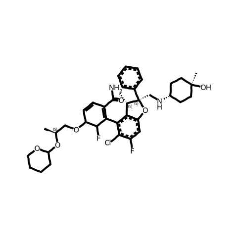 C[C@@H](COC1C=CC(C(N)=O)=C(c2c(Cl)c(F)cc3c2[C@H](C)[C@@](CN[C@H]2CC[C@](C)(O)CC2)(c2ccccc2)O3)C1F)OC1CCCCO1